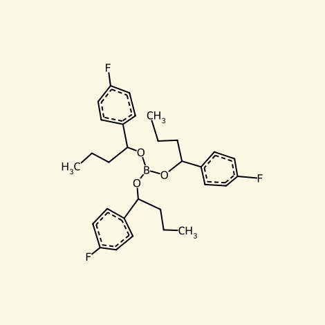 CCCC(OB(OC(CCC)c1ccc(F)cc1)OC(CCC)c1ccc(F)cc1)c1ccc(F)cc1